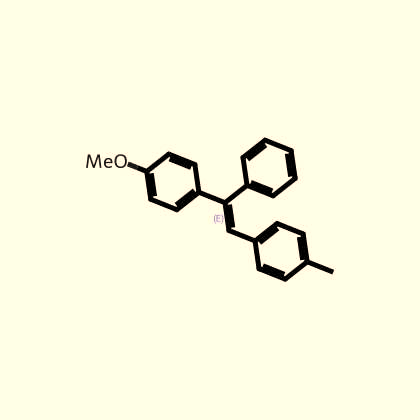 COc1ccc(/C(=C/c2ccc(C)cc2)c2ccccc2)cc1